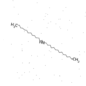 C=CCCCCCCCCCCCCCNCCCCCCCCCCCCCC